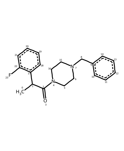 CC(C(=O)N1CCN(Cc2ccccc2)CC1)c1ccccc1F